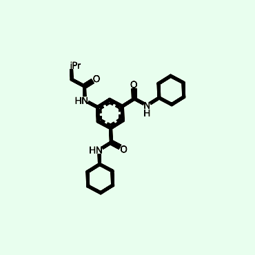 CC(C)CC(=O)Nc1cc(C(=O)NC2CCCCC2)cc(C(=O)NC2CCCCC2)c1